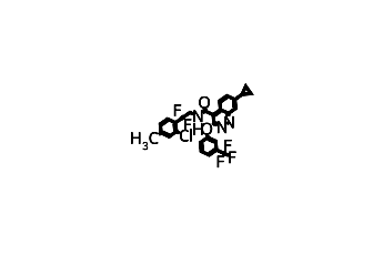 Cc1ccc(C(F)(F)CNC(=O)c2c(Oc3cccc(C(F)(F)F)c3)nnc3cc(C4CC4)ccc23)c(Cl)c1